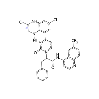 N/C(Cl)=C\N(N)c1ccc(Cl)cc1-c1cc(=O)n(C(Cc2ccccc2)C(=O)Nc2ccnc3ccc(C(F)(F)F)cc23)cn1